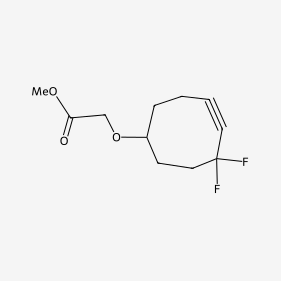 COC(=O)COC1CCC#CC(F)(F)CC1